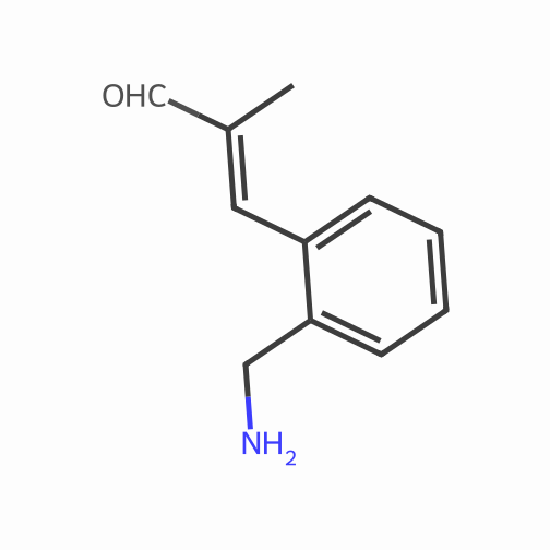 C/C(C=O)=C\c1ccccc1CN